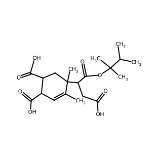 CC1=CC(C(=O)O)C(C(=O)O)CC1(C)C(CC(=O)O)C(=O)OC(C)(C)C(C)C